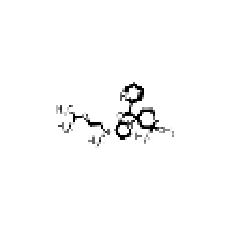 CC(C)OCCN(C)[C@@H]1CCN([C@@]2(C(=O)c3ccccn3)CCOC(C)(C)C2)C1